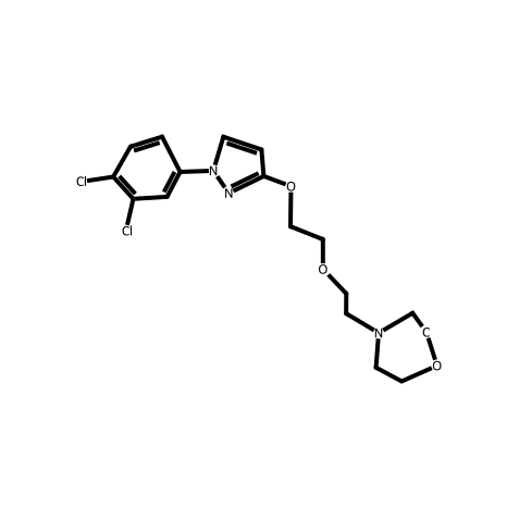 Clc1ccc(-n2ccc(OCCOCCN3CCOCC3)n2)cc1Cl